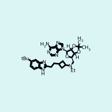 CCN(C[C@H]1O[C@@H](n2cnc3c(N)ncnc32)[C@@H]2OC(C)(C)O[C@@H]21)C1CC(CCc2nc3cc(C(C)(C)C)ccc3[nH]2)C1